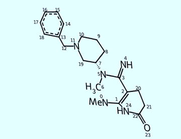 CNC1=C(C(=N)N(C)[C@H]2CCCN(Cc3ccccc3)C2)CCC(=O)N1